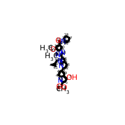 COC(=O)c1cc(O)c2cc(-c3ccc4cc(-c5nc6cc(C(=O)N7CC8CCC7C8)cc(OC)c6n5C)n(CC5CC5)c4n3)ccc2n1